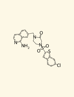 Nc1nccc2ccc(CN3CCN(S(=O)(=O)c4cc5ccc(Cl)cc5s4)CC3=O)cc12